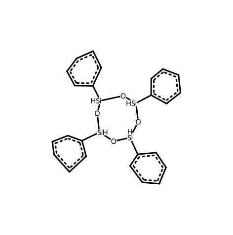 c1ccc([SiH]2O[SiH](c3ccccc3)O[SiH](c3ccccc3)O[SiH](c3ccccc3)O2)cc1